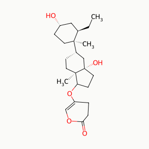 CC[C@@H]1C[C@@H](O)CC[C@]1(C)[C@H]1CC[C@]2(C)C(OC3=COC(=O)CC3)CC[C@]2(O)C1